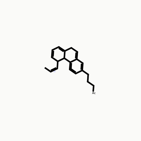 C/C=C\C1C=CC=C2CC=C3C=C(CCCC(C)=O)C=C=C3C21